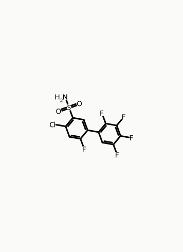 NS(=O)(=O)c1cc(-c2cc(F)c(F)c(F)c2F)c(F)cc1Cl